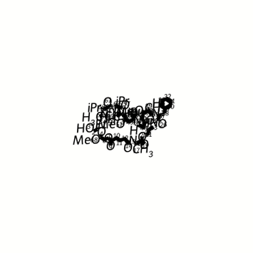 CCC(CO)OC(COC(=O)CCCC(=O)NC(C)C(=O)OCCCNC(=O)[C@H](Cc1ccccc1)NC(=O)[C@H](C)[C@@H](OC)[C@@H]1CCCN1C(=O)C[C@@H](OC)[C@H]([C@@H](C)CC)N(C)C(=O)[C@@H](NC(=O)[C@H](C(C)C)N(C)C)C(C)C)OC